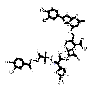 Cc1cc(SCC2=C(C(=O)O)N3C(=O)[C@@H](NC(=O)/C(=N\OC(C)(C)C(=O)NNC(=O)c4ccc(O)c(O)c4)c4csc(N)n4)[C@H]3SC2)n2nc(-c3ccc(O)c(O)c3)nc2n1